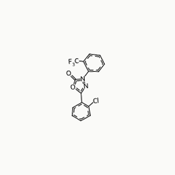 O=c1oc(-c2ccccc2Cl)nn1-c1ccccc1C(F)(F)F